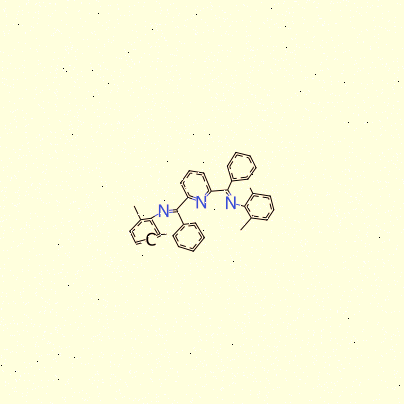 Cc1cccc(C)c1/N=C(\c1ccccc1)c1cccc(/C(=N/c2c(C)cccc2C)c2ccccc2)n1